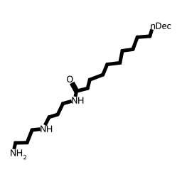 CCCCCCCCCCCCCCCCCCCC(=O)NCCCNCCCN